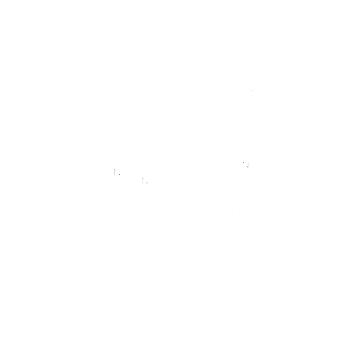 CCOC(=O)C(C(=O)C1CC(F)CN1C(=O)OC(C)(C)C)n1cc2c(Cl)cc(Br)c(OC)c2n1